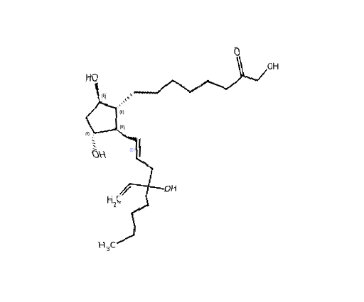 C=CC(O)(C/C=C/[C@@H]1[C@@H](CCCCCCC(=O)CO)[C@H](O)C[C@H]1O)CCCC